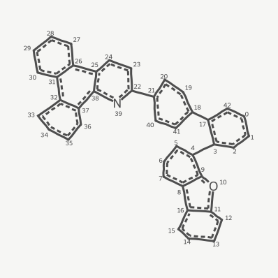 c1ccc(-c2cccc3c2oc2ccccc23)c(-c2ccc(-c3ccc4c5ccccc5c5ccccc5c4n3)cc2)c1